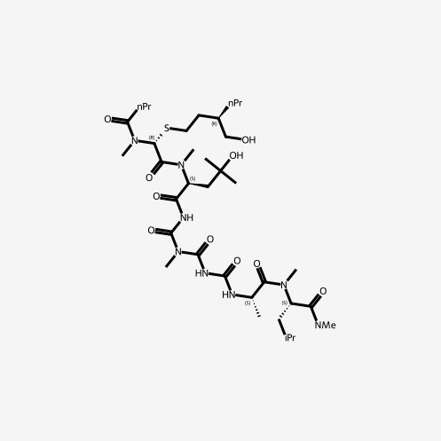 CCCC(=O)N(C)[C@H](SCC[C@H](CO)CCC)C(=O)N(C)[C@@H](CC(C)(C)O)C(=O)NC(=O)N(C)C(=O)NC(=O)N[C@@H](C)C(=O)N(C)[C@@H](CC(C)C)C(=O)NC